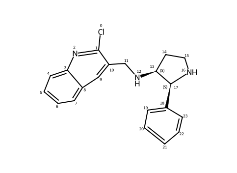 Clc1nc2ccccc2cc1CN[C@H]1CCN[C@H]1c1ccccc1